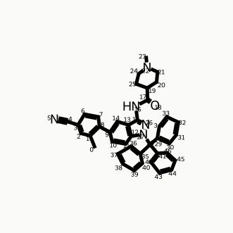 Cc1cc(C#N)ccc1-c1ccc2c(c1)c(NC(=O)C1CCN(C)CC1)nn2C(c1ccccc1)(c1ccccc1)c1ccccc1